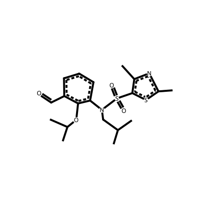 Cc1nc(C)c(S(=O)(=O)N(CC(C)C)c2cccc(C=O)c2OC(C)C)s1